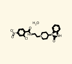 O.O=C(NCCN1CCC(n2c(=O)[nH]c3ccccc32)CC1)c1ccc([N+](=O)[O-])cc1Cl